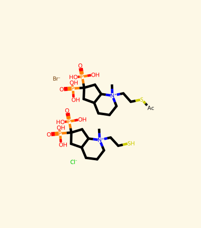 CC(=O)SCC[N+]1(C)CCCC2CC(P(=O)(O)O)(P(=O)(O)O)CC21.C[N+]1(CCS)CCCC2CC(P(=O)(O)O)(P(=O)(O)O)CC21.[Br-].[Cl-]